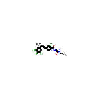 O=C(CNC(=O)c1ccc(C=CC(c2cc(Cl)c(Cl)c(Cl)c2)C(F)(F)F)cc1Cl)NCC(F)(F)F